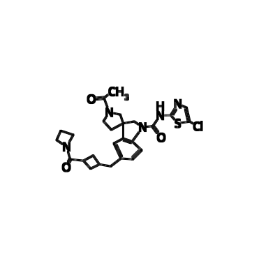 CC(=O)N1CCC2(C1)CN(C(=O)Nc1ncc(Cl)s1)c1ccc(CC3CC(C(=O)N4CCC4)C3)cc12